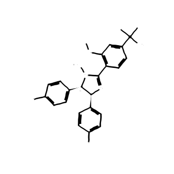 CCOc1cc(C(C)(C)C#N)ccc1C1=N[C@@H](c2ccc(Cl)cc2)[C@@H](c2ccc(Cl)cc2)N1C=O